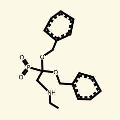 CCNCC(OCc1ccccc1)(OCc1ccccc1)P(=O)=O